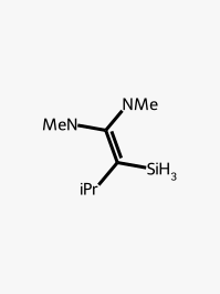 CNC(NC)=C([SiH3])C(C)C